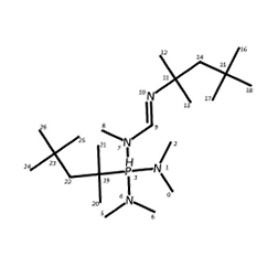 CN(C)[PH](N(C)C)(N(C)C=NC(C)(C)CC(C)(C)C)C(C)(C)CC(C)(C)C